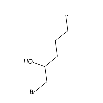 [CH2]CCCC(O)CBr